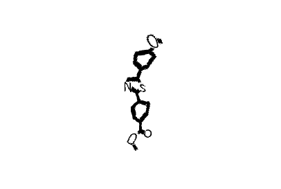 COC(=O)c1ccc(-c2ncc(-c3ccc(OC)cc3)s2)cc1